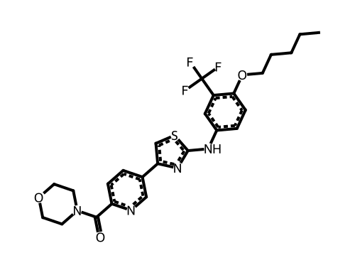 CCCCCOc1ccc(Nc2nc(-c3ccc(C(=O)N4CCOCC4)nc3)cs2)cc1C(F)(F)F